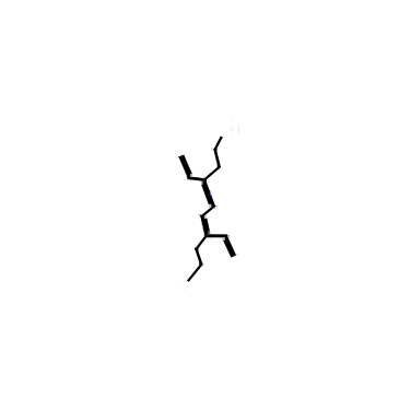 C=C/C(=C\C=C(/C=C)CCS)CCO